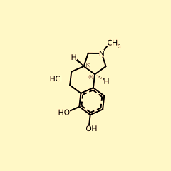 CN1C[C@H]2CCc3c(ccc(O)c3O)[C@@H]2C1.Cl